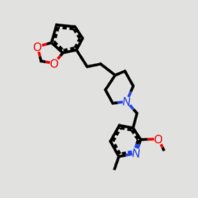 COc1nc(C)ccc1CN1CCC(CCc2cccc3c2OCO3)CC1